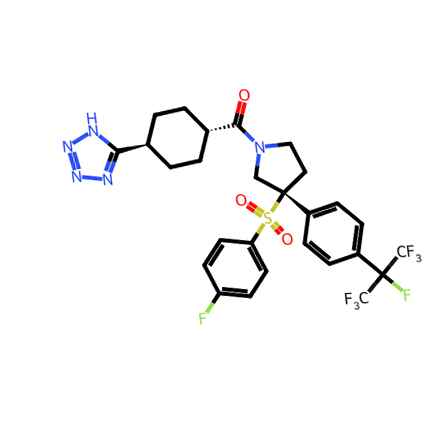 O=C([C@H]1CC[C@H](c2nnn[nH]2)CC1)N1CC[C@](c2ccc(C(F)(C(F)(F)F)C(F)(F)F)cc2)(S(=O)(=O)c2ccc(F)cc2)C1